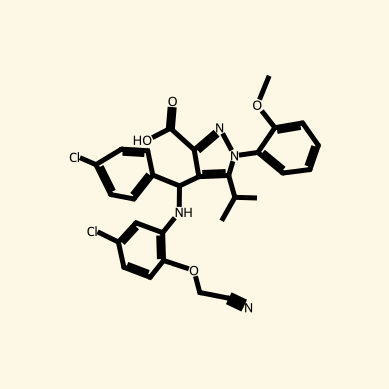 COc1ccccc1-n1nc(C(=O)O)c(C(Nc2cc(Cl)ccc2OCC#N)c2ccc(Cl)cc2)c1C(C)C